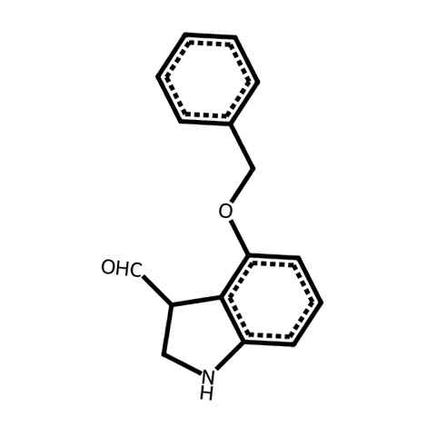 O=CC1CNc2cccc(OCc3ccccc3)c21